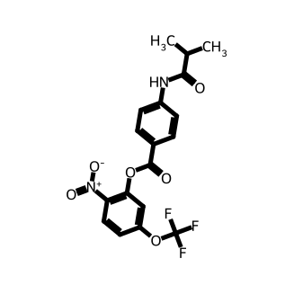 CC(C)C(=O)Nc1ccc(C(=O)Oc2cc(OC(F)(F)F)ccc2[N+](=O)[O-])cc1